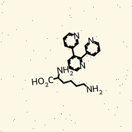 NCCCCC(N)C(=O)O.c1cncc(-c2cccnc2-c2cccnc2)c1